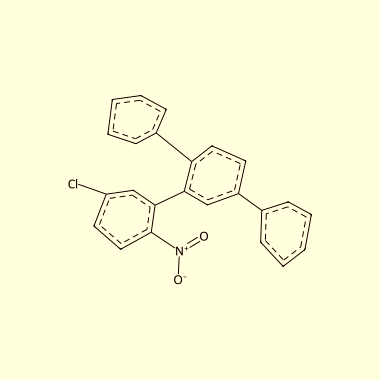 O=[N+]([O-])c1ccc(Cl)cc1-c1cc(-c2ccccc2)ccc1-c1ccccc1